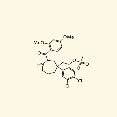 COc1ccc(C(=O)C2CC(CCOS(C)(=O)=O)(c3ccc(Cl)c(Cl)c3)CCCN2)c(OC)c1